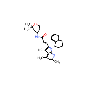 Cc1cc(C)c2c(C#N)c(C=CC(=O)N[C@@H]3CCOC(C)(C)C3)n([C@H]3CCCc4ccccc43)c2n1